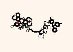 Cc1ccc(C(OC[C@H]2O[C@@H](n3cc(C#CCCC(=O)NCCN4C5(c6ccc(Cl)cc6S4(=O)=O)c4cc6c7c(c4Oc4c5cc5c8c4CCCN8CCC5)CCCN7CCC6)c(=O)[nH]c3=O)CC2O)(c2ccccc2)c2ccc(C)cc2)cc1